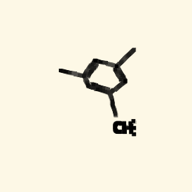 Cc1cc(C)cc(C)c1.[CH]